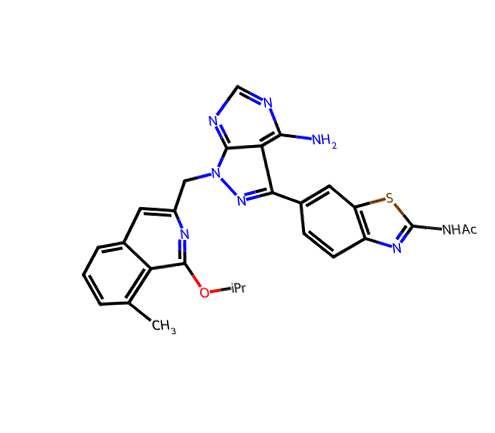 CC(=O)Nc1nc2ccc(-c3nn(Cc4cc5cccc(C)c5c(OC(C)C)n4)c4ncnc(N)c34)cc2s1